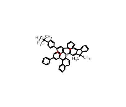 CC(C)(C)c1ccc(-c2ccc(N(c3ccc4c(c3)C(C)(C)c3ccccc3-4)c3ccc4ccccc4c3-c3cccc(-c4ccccc4)c3)c(-c3ccccc3)c2)cc1